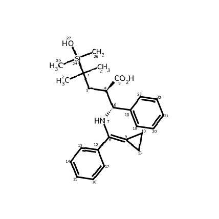 CC(C)(C[C@@H](C(=O)O)[C@@H](NC(=C1CC1)c1ccccc1)c1ccccc1)[Si](C)(C)O